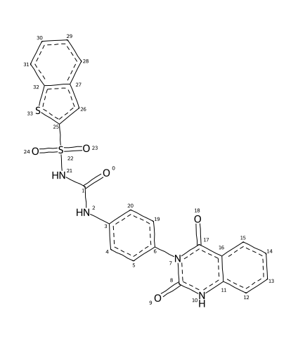 O=C(Nc1ccc(-n2c(=O)[nH]c3ccccc3c2=O)cc1)NS(=O)(=O)c1cc2ccccc2s1